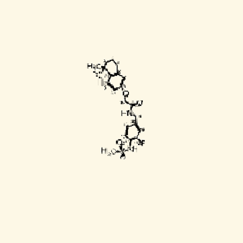 CC1(C)CCCc2cc(OCC(=O)NCc3ccc(NS(C)(=O)=O)c(F)c3)ccc21